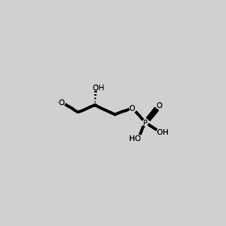 [O]C[C@H](O)COP(=O)(O)O